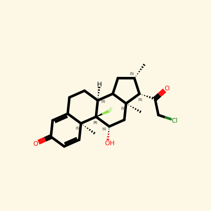 C[C@H]1CC2[C@@H]3CCC4=CC(=O)C=C[C@]4(C)[C@@]3(F)[C@@H](O)C[C@]2(C)[C@H]1C(=O)CCl